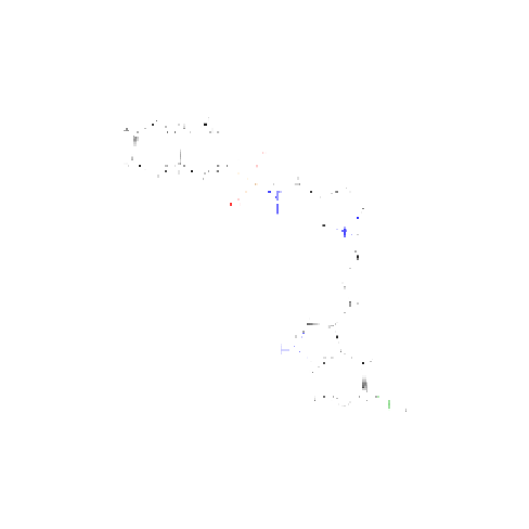 O=S(=O)(NCC1CCN(CCCc2c[nH]c3ccc(F)cc23)C1)c1ccc2ccccc2c1